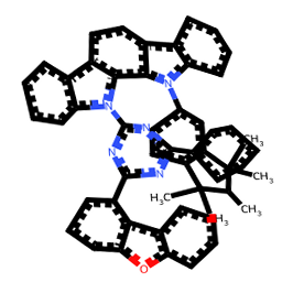 CC1C(C)(C)c2ccc(-n3c4ccccc4c4ccc5c6ccccc6n(-c6nc(-c7ccccc7)nc(-c7cccc8oc9ccccc9c78)n6)c5c43)cc2C1(C)C